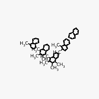 Cc1c(C)c(C)c2ccccc2c1C.Cc1cc2ccccc2c(C)c1C.Cc1ccc2ccccc2c1C.Cc1cccc2ccccc12.c1ccc2ccccc2c1